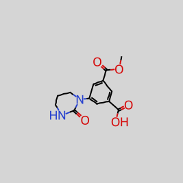 COC(=O)c1cc(C(=O)O)cc(N2CCCNC2=O)c1